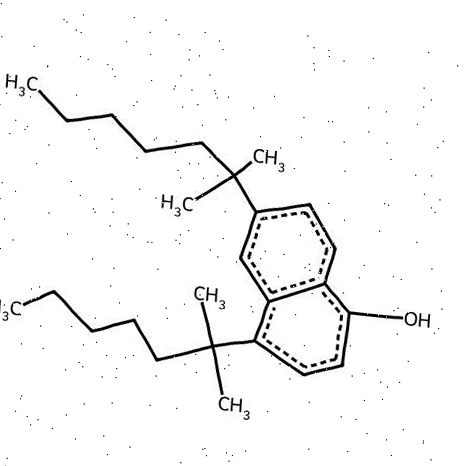 CCCCCC(C)(C)c1ccc2c(O)ccc(C(C)(C)CCCCC)c2c1